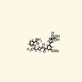 CSc1cc(C(=O)NC2CC(C[C@H](C)Oc3ncccc3C(N)=O)C2)cc(-c2cnn(C(O)(O)O)c2)c1